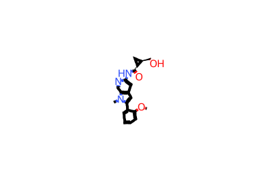 COc1ccccc1-c1cc2cc(NC(=O)[C@@H]3C[C@H]3CO)ncc2n1C